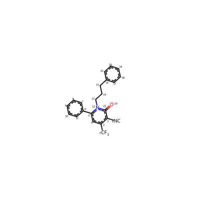 [C-]#[N+]c1c(C(F)(F)F)cc(-c2ccccc2)n(CCCc2ccccc2)c1=O